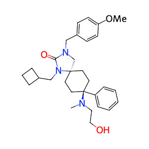 COc1ccc(CN2C[C@]3(CC[C@](c4ccccc4)(N(C)CCO)CC3)N(CC3CCC3)C2=O)cc1